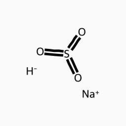 O=S(=O)=O.[H-].[Na+]